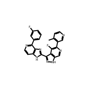 Cc1ccncc1-c1ncc2[nH]nc(-c3nc4c(-c5cccc(F)c5)nccc4[nH]3)c2c1F